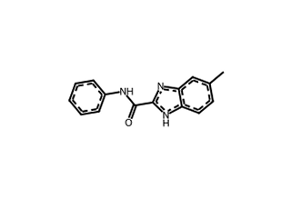 Cc1ccc2[nH]c(C(=O)Nc3ccccc3)nc2c1